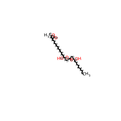 CCCCCCCCCC[C@H](O)[C@@H]1CC[C@H]([C@H]2CC[C@@H]([C@H](O)CCCCCCCCCCCCC3=C[C@H](C)OC3=O)O2)O1